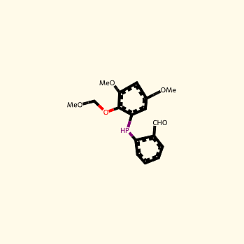 COCOc1c(OC)cc(OC)cc1Pc1ccccc1C=O